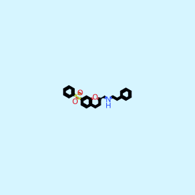 O=S(=O)(c1ccccc1)c1ccc2c(c1)O[C@@H](CNCCc1ccccc1)CC2